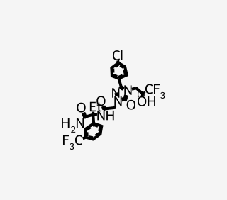 CCC(NC(=O)Cn1nc(-c2ccc(Cl)cc2)n(C[C@H](O)C(F)(F)F)c1=O)(C(N)=O)c1cccc(C(F)(F)F)c1